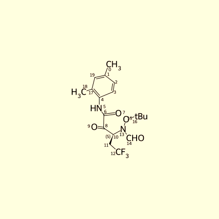 Cc1ccc(NC(=O)C(=O)[C@H](CC(F)(F)F)N(C=O)OC(C)(C)C)c(C)c1